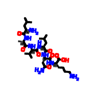 CC(C)C[C@H](NC(=O)[C@@H](NC(=O)[C@H](C)NC(=O)[C@@H](N)CC(C)C)C(C)C)C(=O)N[C@@H](CC(N)=O)C(=O)N[C@@H](CCCCN)C(=O)O